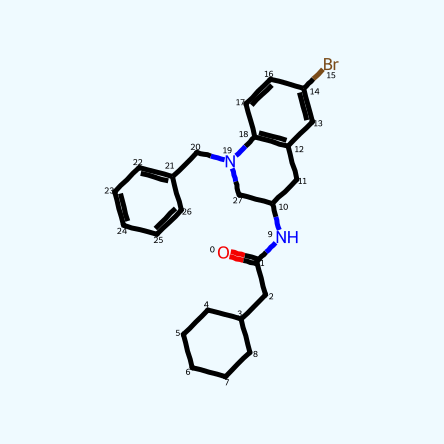 O=C(CC1CCCCC1)NC1Cc2cc(Br)ccc2N(Cc2ccccc2)C1